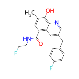 Cc1cc(C(=O)NCCF)c2cc(Cc3ccc(F)cc3)cnc2c1O